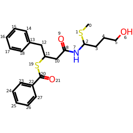 CSC(CCCO)NC(=O)CC(Cc1ccccc1)SC(=O)c1ccccc1